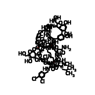 CN[C@H](CC(C)C)C(=O)N[C@H]1C(=O)N[C@@H](CC(N)=O)C(=O)N[C@H]2C(=O)N[C@H]3C(=O)N[C@H](C(=O)N[C@@H](C(=O)NO)c4cc(O)cc(O)c4-c4cc3ccc4O)[C@H](O)c3ccc(c(Cl)c3)Oc3cc2cc(c3O[C@@H]2O[C@H](CO)[C@@H](O)[C@H](O)[C@H]2O[C@H]2C[C@](C)(NCCN3CCN(C(=O)NCc4ccc(Cl)c(Cl)c4)CC3)[C@H](O)[C@H](C)O2)Oc2ccc(cc2Cl)[C@H]1O